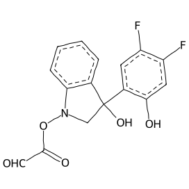 O=CC(=O)ON1CC(O)(c2cc(F)c(F)cc2O)c2ccccc21